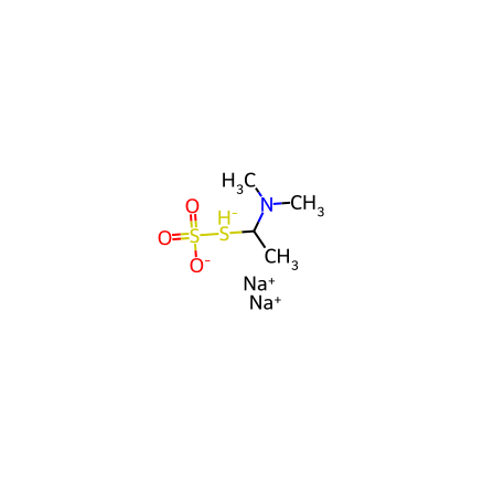 CC([SH-]S(=O)(=O)[O-])N(C)C.[Na+].[Na+]